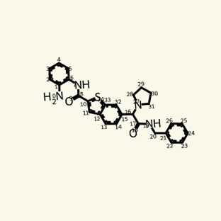 Nc1ccccc1NC(=O)c1cc2ccc(C(C(=O)NCc3ccccc3)N3CCCC3)cc2s1